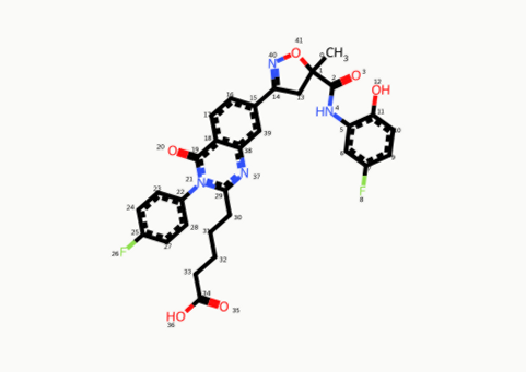 CC1(C(=O)Nc2cc(F)ccc2O)CC(c2ccc3c(=O)n(-c4ccc(F)cc4)c(CCCCC(=O)O)nc3c2)=NO1